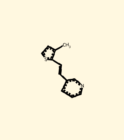 Cc1ccsc1C=Cc1cccnc1